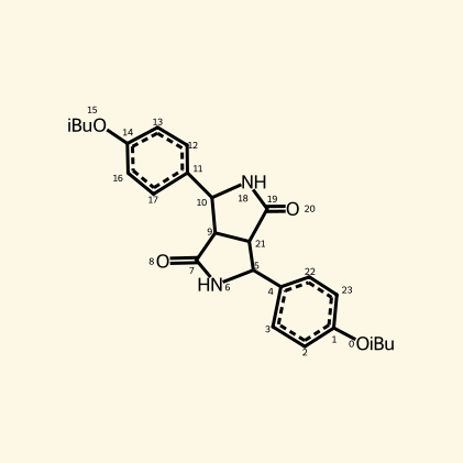 CC(C)COc1ccc(C2NC(=O)C3C(c4ccc(OCC(C)C)cc4)NC(=O)C23)cc1